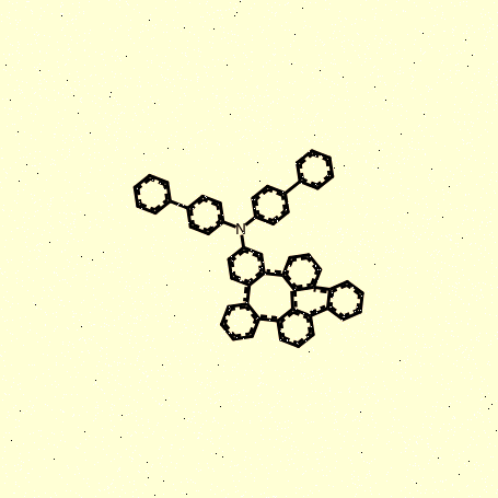 c1ccc(-c2ccc(N(c3ccc(-c4ccccc4)cc3)c3ccc4c5ccccc5c5cccc6c7ccccc7c7cccc(c4c3)c7c56)cc2)cc1